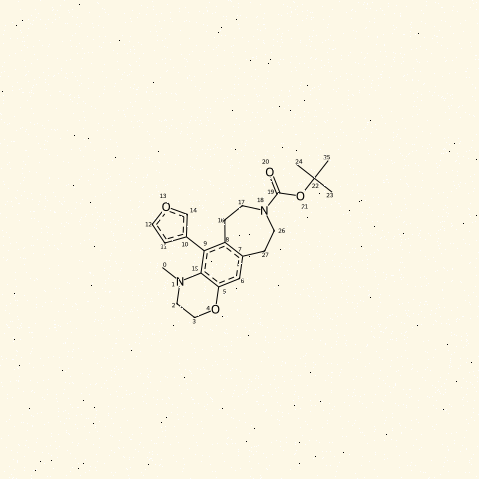 CN1CCOc2cc3c(c(-c4ccoc4)c21)CCN(C(=O)OC(C)(C)C)CC3